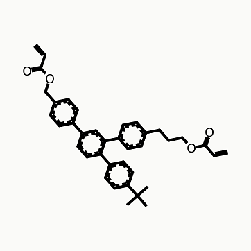 C=CC(=O)OCCCc1ccc(-c2cc(-c3ccc(COC(=O)C=C)cc3)ccc2-c2ccc(C(C)(C)C)cc2)cc1